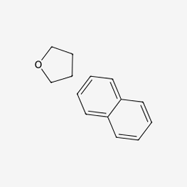 C1CCOC1.c1ccc2ccccc2c1